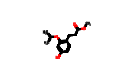 COC(=O)CCc1ccc(O)cc1OC(C)C